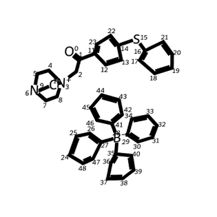 O=C(C[N+]12CCN(CC1)CC2)c1ccc(Sc2ccccc2)cc1.c1ccc([B-](c2ccccc2)(c2ccccc2)c2ccccc2)cc1